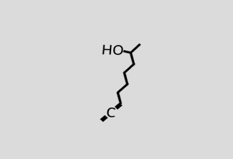 C=C=CCCCCC(C)O